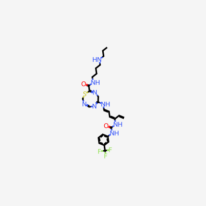 C=C/C(=C\C=C\N/C1=N/C=N\CS/C(C(=O)NCCCCNCCC)=N\C1)NC(=O)Nc1cccc(C(F)(F)F)c1